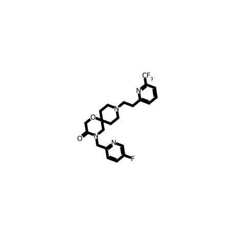 O=C1COC2(CCN(CCc3cccc(C(F)(F)F)n3)CC2)CN1Cc1ccc(F)cn1